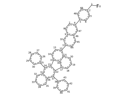 FCc1ccc(-c2ccc3cc(-c4ccc5c6c(cccc46)-c4c-5c(-c5ccccc5)c5ccccc5c4-c4ccccc4)ccc3c2)cc1